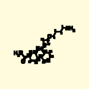 NCCCCOC1CN(c2nc3cc(C(N)=O)ccc3c3cnccc23)C1